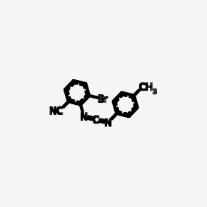 Cc1ccc(N=C=Nc2c(Br)cccc2C#N)cc1